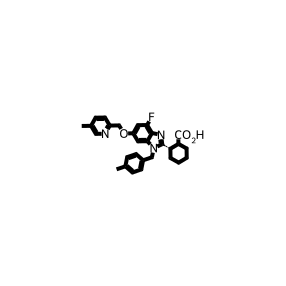 Cc1ccc(Cn2c([C@H]3CCCCC3C(=O)O)nc3c(F)cc(OCc4ccc(C)cn4)cc32)cc1